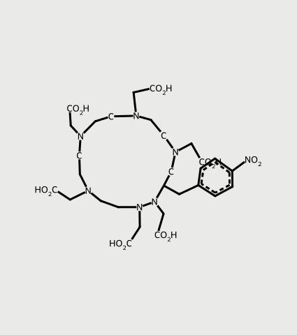 O=C(O)CN1CCN(CC(=O)O)CCN(CC(=O)O)CC(Cc2ccc([N+](=O)[O-])cc2)N(CC(=O)O)N(CC(=O)O)CCN(CC(=O)O)CC1